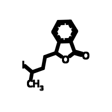 CC(I)CCC1OC(=O)c2ccccc21